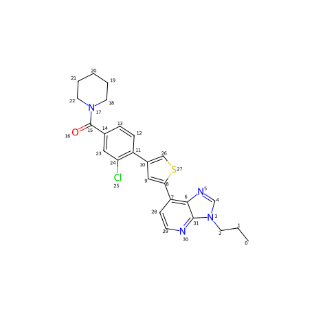 CCCn1cnc2c(-c3cc(-c4ccc(C(=O)N5CCCCC5)cc4Cl)cs3)ccnc21